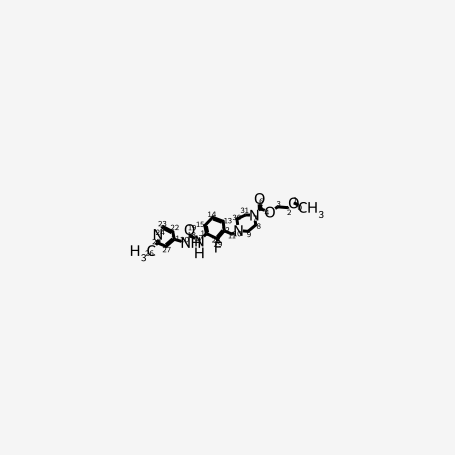 COCCOC(=O)N1CCN(Cc2cccc(NC(=O)Nc3ccnc(C)c3)c2F)CC1